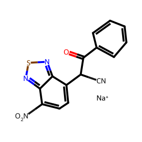 N#CC(C(=O)c1ccccc1)c1ccc([N+](=O)[O-])c2nsnc12.[Na+]